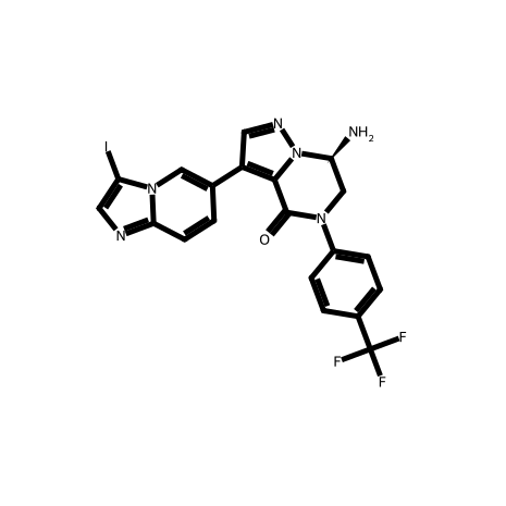 N[C@H]1CN(c2ccc(C(F)(F)F)cc2)C(=O)c2c(-c3ccc4ncc(I)n4c3)cnn21